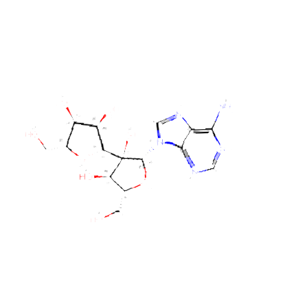 Nc1ncnc2c1ncn2[C@@H]1O[C@H](CO)[C@@H](O)[C@]1(O)[C@@H]1O[C@H](CO)[C@@H](O)[C@H]1O